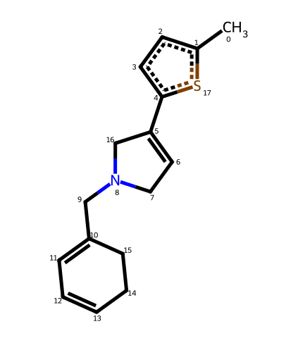 Cc1ccc(C2=CCN(CC3=CC=CCC3)C2)s1